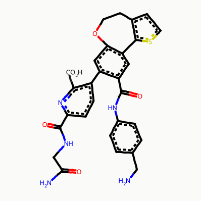 NCc1ccc(NC(=O)c2cc3c(cc2-c2ccc(C(=O)NCC(N)=O)nc2C(=O)O)OCCc2ccsc2-3)cc1